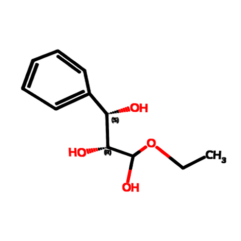 CCOC(O)[C@H](O)[C@@H](O)c1ccccc1